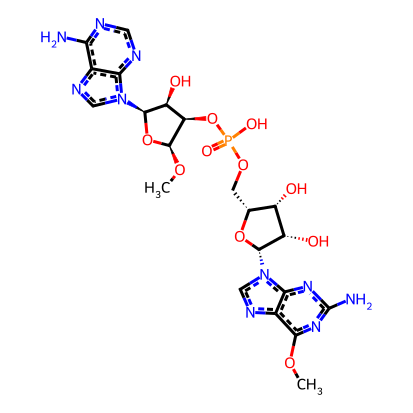 COc1nc(N)nc2c1ncn2[C@@H]1O[C@H](COP(=O)(O)O[C@H]2[C@@H](OC)O[C@@H](n3cnc4c(N)ncnc43)[C@H]2O)[C@H](O)[C@@H]1O